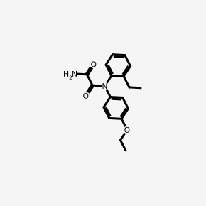 CCOc1ccc(N(C(=O)C(N)=O)c2ccccc2CC)cc1